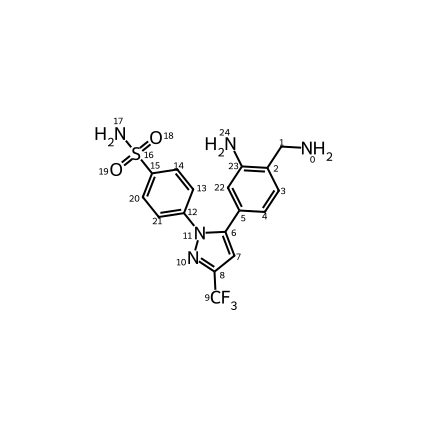 NCc1ccc(-c2cc(C(F)(F)F)nn2-c2ccc(S(N)(=O)=O)cc2)cc1N